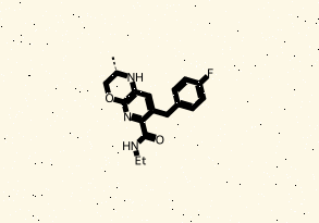 CCNC(=O)c1nc2c(cc1Cc1ccc(F)cc1)N[C@@H](C)CO2